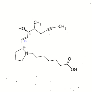 CC#CCC(C)[C@H](O)/C=C/[C@H]1CCCN1CCCCCCC(=O)O